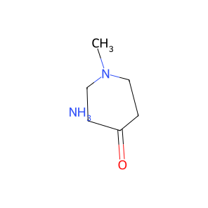 CN1CCC(=O)CC1.N